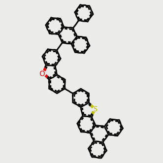 c1ccc(-c2c3ccccc3c(-c3ccc4oc5ccc(-c6ccc7sc8c(ccc9c%10ccccc%10c%10ccccc%10c98)c7c6)cc5c4c3)c3ccccc23)cc1